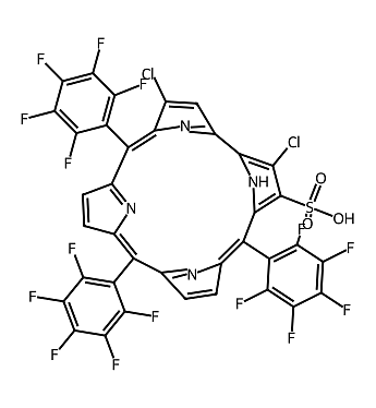 O=S(=O)(O)c1c2[nH]c(c1Cl)C1=NC(=C(c3c(F)c(F)c(F)c(F)c3F)C3=NC(=C(c4c(F)c(F)c(F)c(F)c4F)C4=NC(=C2c2c(F)c(F)c(F)c(F)c2F)C=C4)C=C3)C(Cl)=C1